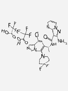 CC(NC(=O)c1c(N)nn2cccnc12)c1cc(Cl)c2cncn2c1N1CCC(F)(F)CC1.O=C(O)C(F)(F)F.O=C(O)C(F)(F)F